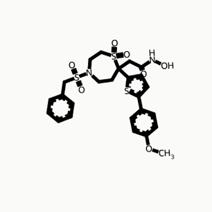 COc1ccc(-c2ccc(C3(CC(=O)NO)CCN(S(=O)(=O)Cc4ccccc4)CCS3(=O)=O)s2)cc1